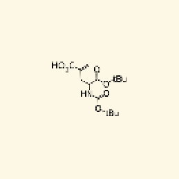 C=C(CC(NC(=O)OC(C)(C)C)C(=O)OC(C)(C)C)C(=O)O